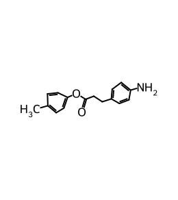 Cc1ccc(OC(=O)CCc2ccc(N)cc2)cc1